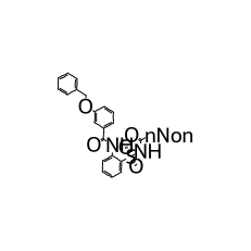 CCCCCCCCCC(=O)NS(=O)(=O)c1ccccc1NC(=O)c1cccc(OCc2ccccc2)c1